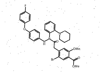 COC(=O)c1cc(Br)c(CC(=O)N(Nc2ccc(Oc3ccc(F)cc3)cc2)c2ccccc2N2CCCCC2)cc1OC